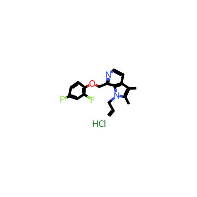 C=CCn1c(C)c(C)c2ccnc(COc3ccc(F)cc3F)c21.Cl